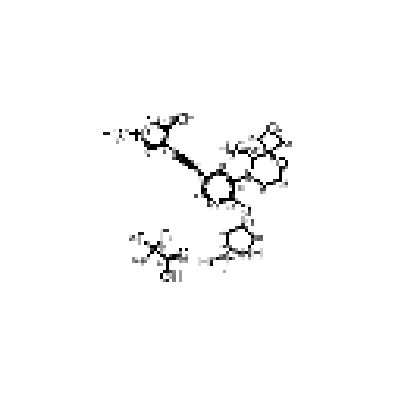 Cc1nn(C)cc1C#Cc1cnc(O[C@@H]2CN[C@H](C(=O)O)C2)c(N2CCOC3(COC3)[C@@H]2C)c1.O=C(O)C(F)(F)F